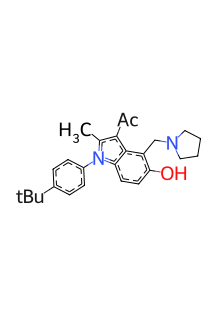 CC(=O)c1c(C)n(-c2ccc(C(C)(C)C)cc2)c2ccc(O)c(CN3CCCC3)c12